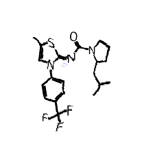 Cc1cn(-c2ccc(C(F)(F)F)cc2)/c(=N/C(=O)N2CCCC2CC(C)C)s1